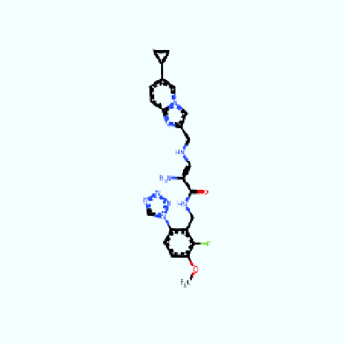 N/C(=C\NCc1cn2cc(C3CC3)ccc2n1)C(=O)NCc1c(-n2cnnn2)ccc(OC(F)(F)F)c1F